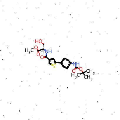 COC(=O)[C@H](CO)NC(=O)c1csc(-c2ccc(NC(=O)OC(C)(C)C)cc2)c1